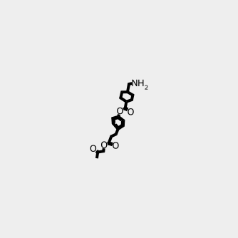 CC(=O)COC(=O)CCc1ccc(OC(=O)C2CCC(CN)CC2)cc1